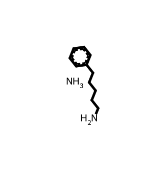 N.NCCCCCc1ccccc1